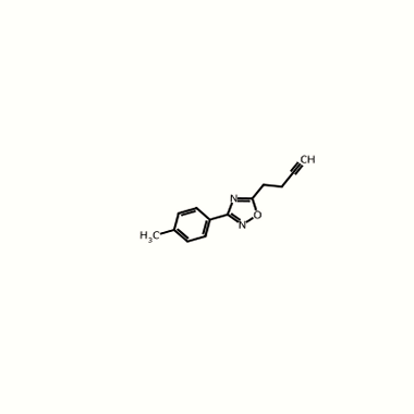 C#CCCc1nc(-c2ccc(C)cc2)no1